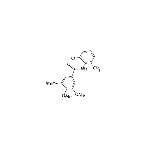 COc1cc(C(=O)Nc2c(C)cccc2Cl)cc(OC)c1OC